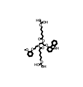 COc1ccccc1OCCN(CC(COc1cccc2[nH]c3ccccc3c12)OC(=O)CCCCCON(O)O)C(=O)CCCCCON(O)O